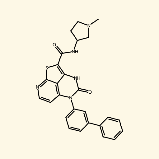 CN1CCC(NC(=O)c2sc3nccc4c3c2NC(=O)N4c2cccc(-c3ccccc3)c2)C1